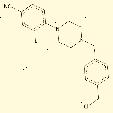 N#Cc1ccc(N2CCN(Cc3ccc(CCl)cc3)CC2)c(F)c1